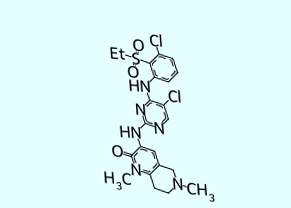 CCS(=O)(=O)c1c(Cl)cccc1Nc1nc(Nc2cc3c(n(C)c2=O)CCN(C)C3)ncc1Cl